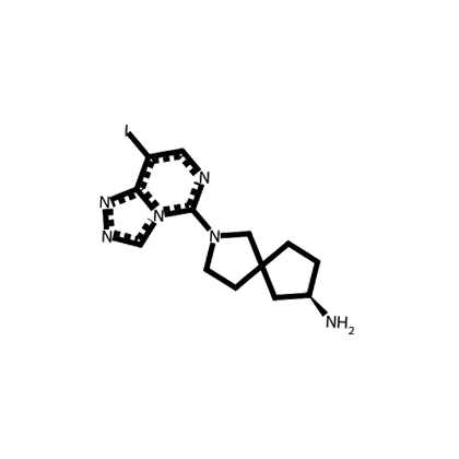 N[C@@H]1CCC2(CCN(c3ncc(I)c4nncn34)C2)C1